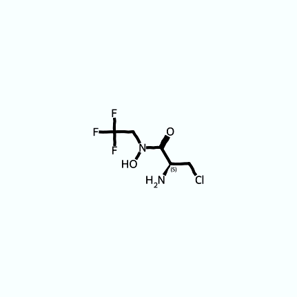 N[C@H](CCl)C(=O)N(O)CC(F)(F)F